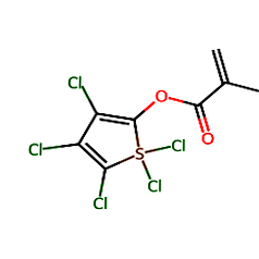 C=C(C)C(=O)OC1=C(Cl)C(Cl)=C(Cl)S1(Cl)Cl